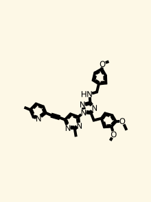 COc1ccc(CNc2nc(Cc3ccc(OC)c(OC)c3)n(-c3cc(C#Cc4ccc(C)cn4)nc(C)n3)n2)cc1